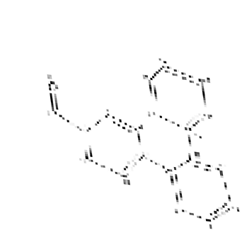 O=Cc1ccc(-c2ccccc2-c2ccccc2)cc1